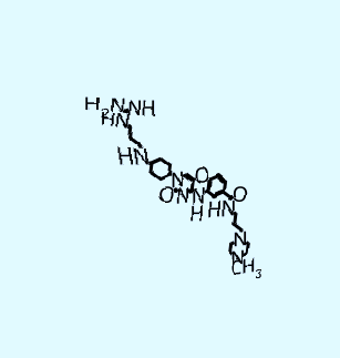 CN1CCN(CCCNC(=O)c2ccc3c(c2)Nc2nc(=O)n([C@H]4CC[C@@H](NCCCNC(=N)N)CC4)cc2O3)CC1